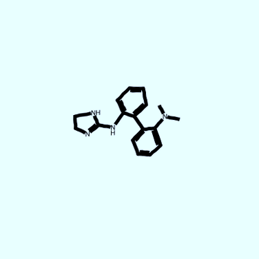 CN(C)c1ccccc1-c1ccccc1NC1=NCCN1